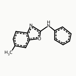 Cc1ccc2nc(Nc3ccccc3)oc2c1